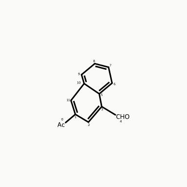 CC(=O)c1cc(C=O)c2ccccc2c1